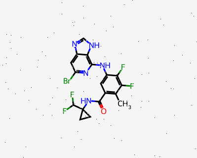 Cc1c(C(=O)NC2(C(F)F)CC2)cc(Nc2nc(Br)cc3nc[nH]c23)c(F)c1F